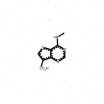 CBc1ncnc2c(C(=O)O)csc12